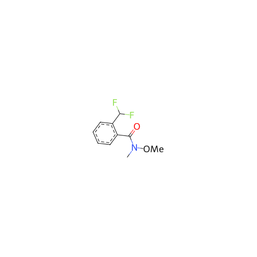 CON(C)C(=O)c1ccccc1C(F)F